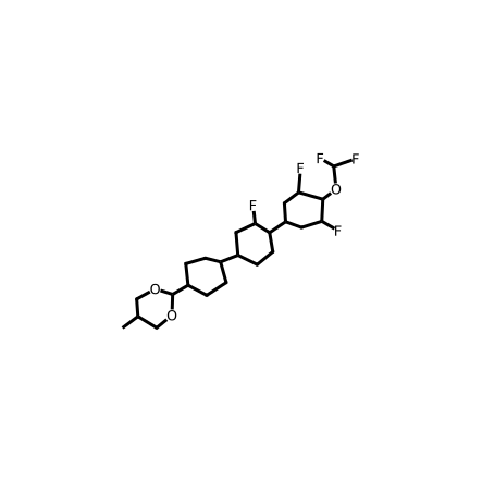 CC1COC(C2CCC(C3CCC(C4CC(F)C(OC(F)F)C(F)C4)C(F)C3)CC2)OC1